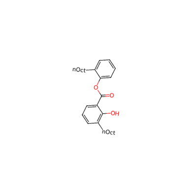 CCCCCCCCc1ccccc1OC(=O)c1cccc(CCCCCCCC)c1O